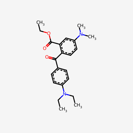 CCOC(=O)c1cc(N(C)C)ccc1C(=O)c1ccc(N(CC)CC)cc1